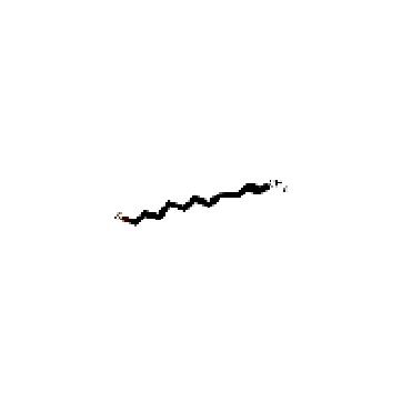 CC=CCCCCCCCCC[S]